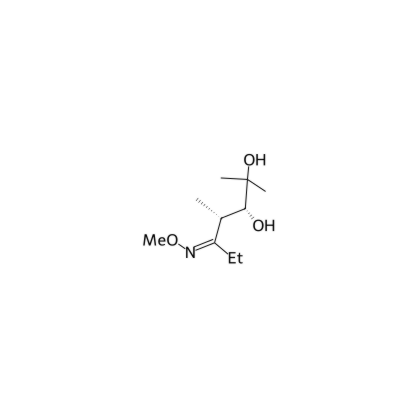 CCC(=NOC)[C@H](C)[C@@H](O)C(C)(C)O